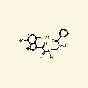 CCN(CCN(C)C(=O)c1ccccc1)C(=O)C(=O)c1c[nH]c2c(C#N)ncc(OC)c12